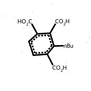 CCCCc1c(C(=O)O)ccc(C(=O)O)c1C(=O)O